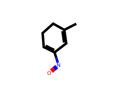 CC1=CC(N=O)=CCC1